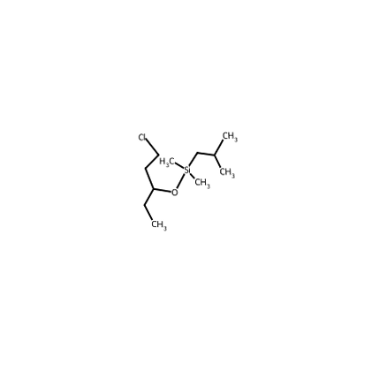 CCC(CCCl)O[Si](C)(C)CC(C)C